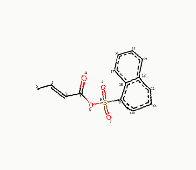 CC=CC(=O)OS(=O)(=O)c1cccc2ccccc12